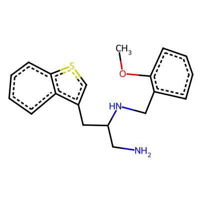 COc1ccccc1CNC(CN)Cc1csc2ccccc12